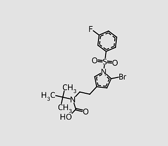 CC(C)(C)N(CCc1cc(Br)n(S(=O)(=O)c2cccc(F)c2)c1)C(=O)O